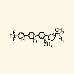 CC(C)N1CCC2C(C1)c1ccc(-n3ccc(-c4ccc(C(F)(F)F)cn4)cc3=O)cc1N2C